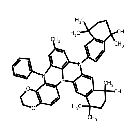 Cc1cc2c3c(c1)N(c1ccccc1)c1c(ccc4c1OCCO4)B3c1cc3c(cc1N2c1ccc2c(c1)C(C)(C)CCC2(C)C)C(C)(C)CCC3(C)C